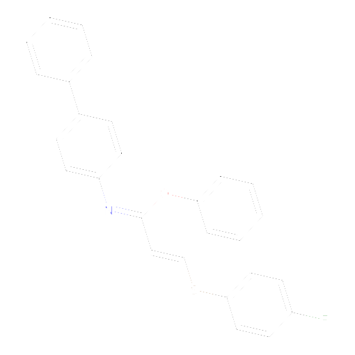 Fc1ccc(SC=CC(=Nc2ccc(-c3ccccc3)cc2)Oc2ccccc2)cc1